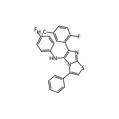 Cc1ccc(F)c(-c2nc3scc(-c4ccccc4)n3c2Nc2ccc(F)cc2)c1